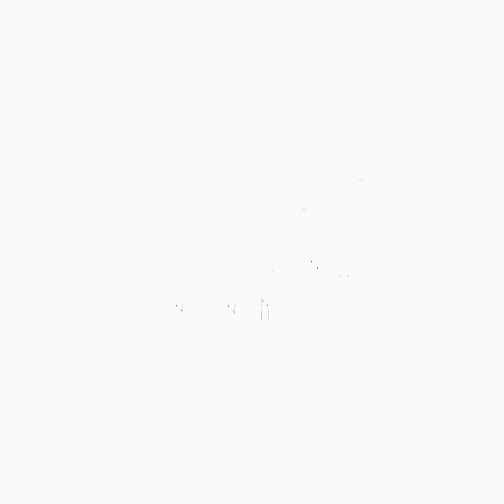 O=C(Nc1cccc(CN2CCOCC2)n1)c1cccc2oc(-c3ccc(F)cc3C(F)(F)F)nc12